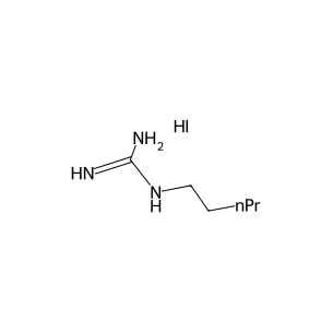 CCCCCNC(=N)N.I